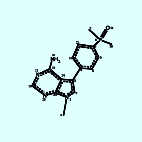 Cn1cc(-c2ccc(P(C)(C)=O)cc2)c2c(N)ncnc21